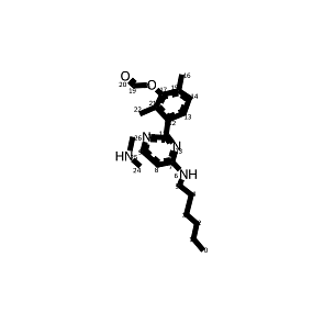 CCCCCCNc1ccnc(-c2ccc(C)c(OC=O)c2C)n1.CNC